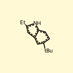 CCc1cc2cc(C(C)(C)C)ccc2[nH]1